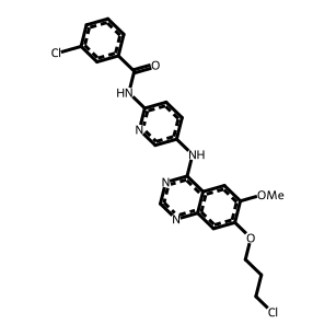 COc1cc2c(Nc3ccc(NC(=O)c4cccc(Cl)c4)nc3)ncnc2cc1OCCCCl